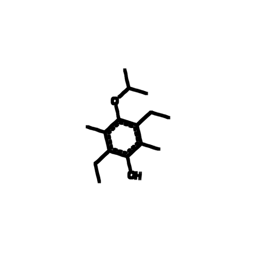 CCc1c(C)c(OC(C)C)c(CC)c(C)c1O